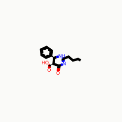 CCCCC1=NC(=O)[C@H](C(=O)O)[C@@H](c2ccccc2)N1